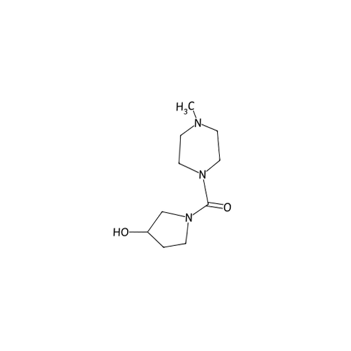 CN1CCN(C(=O)N2CCC(O)C2)CC1